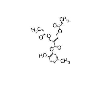 C=CC(=O)OCC=C(COC(=O)C=C)C(=O)Oc1cc(C)ccc1O